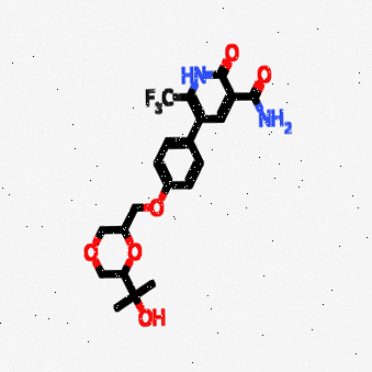 CC(C)(O)C1COCC(COc2ccc(-c3cc(C(N)=O)c(=O)[nH]c3C(F)(F)F)cc2)O1